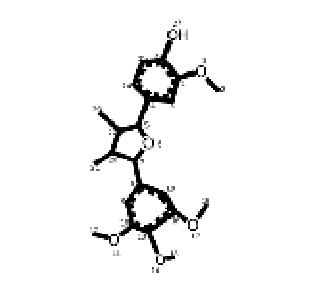 COc1cc(C2OC(c3cc(OC)c(OC)c(OC)c3)C(C)C2C)ccc1O